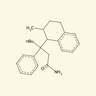 CCCCC(CC(N)=O)(c1ccccc1)C1c2ccccc2CCC1C